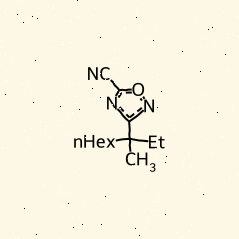 CCCCCCC(C)(CC)c1noc(C#N)n1